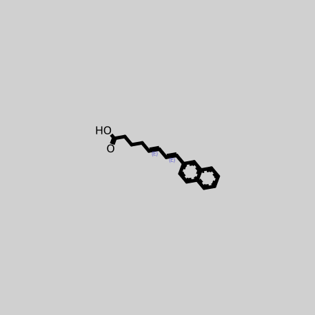 O=C(O)CCC/C=C/C=C/c1ccc2ccccc2c1